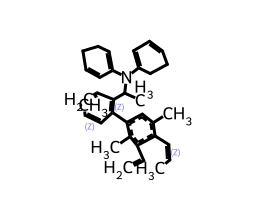 C=C/C(=C(\C=C/C)c1cc(C)c(/C=C\C)c(C=C)c1C)C(C)N(C1=CCCC=C1)C1=CC=CCC1